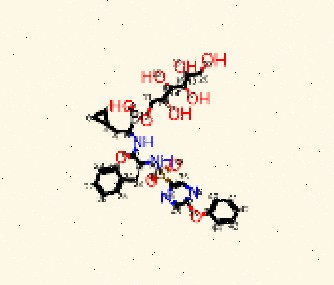 O=C(N[C@@H](CC1CC1)B(O)OC[C@@H](O)[C@@H](O)[C@H](O)[C@H](O)CO)[C@H](Cc1ccccc1)NS(=O)(=O)c1cnc(Oc2ccccc2)cn1